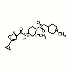 C[C@H]1C[C@@H](NC(=O)c2cc(C3CC3)on2)CCN1S(=O)(=O)CC1CCN(C)CC1